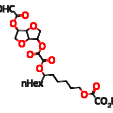 CCCCCCC(CCCCCOC(=O)C(=O)O)OC(=O)C(=O)O[C@@H]1COC2C1OC[C@H]2OC(=O)C=O